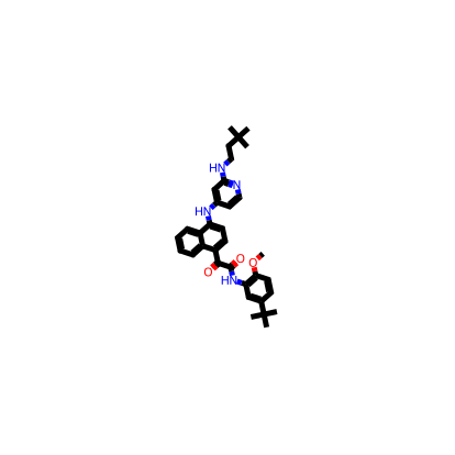 COc1ccc(C(C)(C)C)cc1NC(=O)C(=O)c1ccc(Nc2ccnc(NCCC(C)(C)C)c2)c2ccccc12